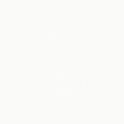 Oc1cc2ccc3ccc(O)c(O)c3c2cc1O